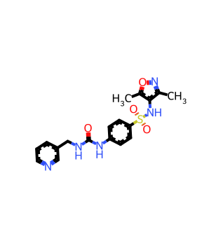 Cc1noc(C)c1NS(=O)(=O)c1ccc(NC(=O)NCc2cccnc2)cc1